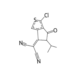 CC(C)C1C(=O)c2c(csc2Cl)C1=C(C#N)C#N